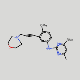 CNc1cc(C)nc(Nc2ccc(OC)c(C#CCN3CCOCC3)c2)n1